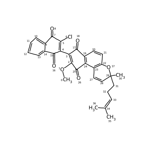 COC1=C(C2=C(Cl)C(=O)c3ccccc3C2=O)C(=O)c2ccc3c(c2C1=O)C=CC(C)(CCC=C(C)C)O3